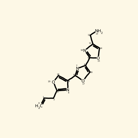 C=CCc1nc(-c2nc(-c3nc(CN)co3)co2)co1